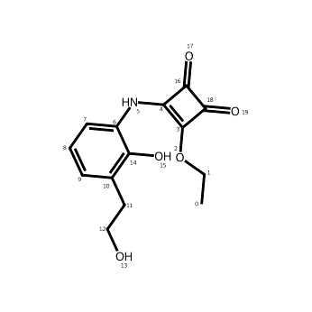 CCOc1c(Nc2cccc(CCO)c2O)c(=O)c1=O